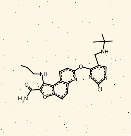 CCCNc1c(C(N)=O)oc2ccc3nc(Oc4nc(Cl)ncc4CNC(C)(C)C)ccc3c12